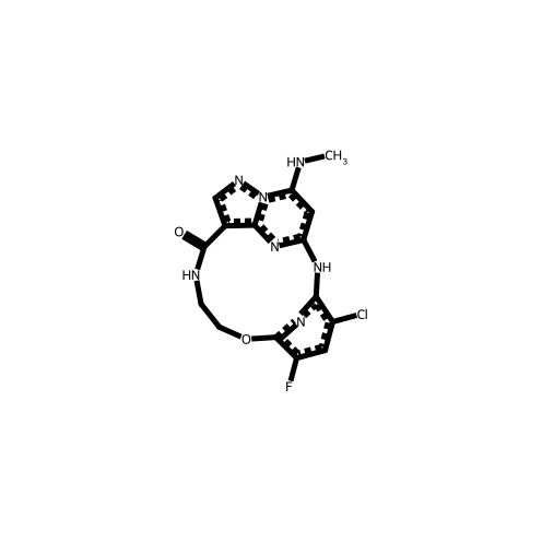 CNc1cc2nc3c(cnn13)C(=O)NCCOc1nc(c(Cl)cc1F)N2